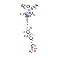 Cc1ncsc1-c1ccc([C@H](CN(C)C)NC(=O)[C@@H]2C[C@@H](O)CN2C(=O)[C@@H](NC(=O)COCCCCCOc2c(Cl)cc(C(C)(C)c3ccc(OCc4cnc(NS(C)(=O)=O)nc4)cc3)cc2C#N)C(C)(C)C)cc1